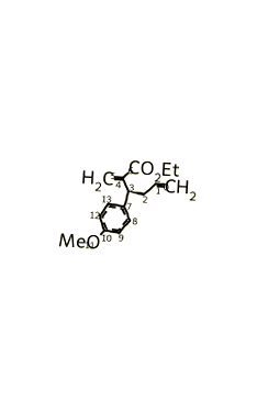 C=CC[C@H](C(=C)C(=O)OCC)c1ccc(OC)cc1